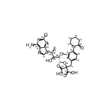 CO[C@H](COC(Cc1ccc(N2CCCCC2=O)cc1)(C(=O)O)C(=O)O)[C@@H](O)[C@H](F)n1cnc2c(N)nc(Cl)nc21